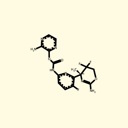 C[C@]1(c2nc(NC(=O)Oc3nccnc3N)ccc2F)N=C(N)OCC1(F)F